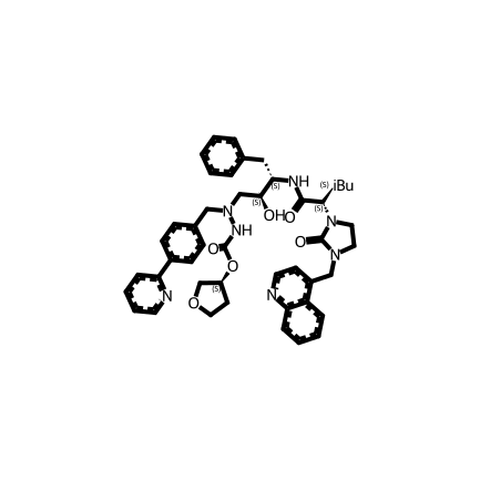 CC[C@H](C)[C@@H](C(=O)N[C@@H](Cc1ccccc1)[C@@H](O)CN(Cc1ccc(-c2ccccn2)cc1)NC(=O)O[C@H]1CCOC1)N1CCN(Cc2ccnc3ccccc23)C1=O